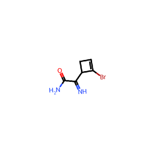 N=C(C(N)=O)C1CC=C1Br